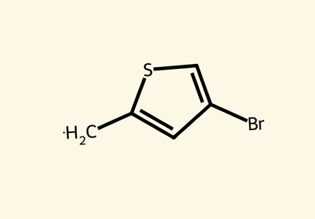 [CH2]c1cc(Br)cs1